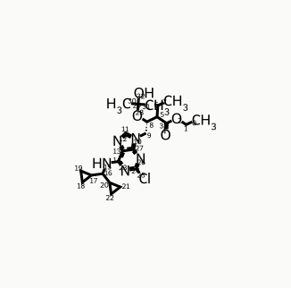 CCOC(=O)C(CC)[C@H](Cn1cnc2c(NC(C3CC3)C3CC3)nc(Cl)nc21)OC(C)(C)O